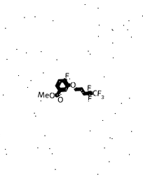 COC(=O)c1ccc(F)c(OCCCC(F)(F)C(F)(F)F)c1